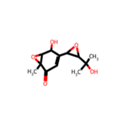 CC(C)(O)C1OC1C1=CC(=O)C2(C)OC2C1O